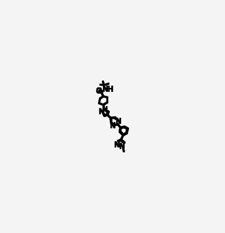 Cn1cc(-c2cccc(-c3ncc(-c4cnn(C5CCC(C(=O)NC(C)(C)C)CC5)c4)cn3)c2)cn1